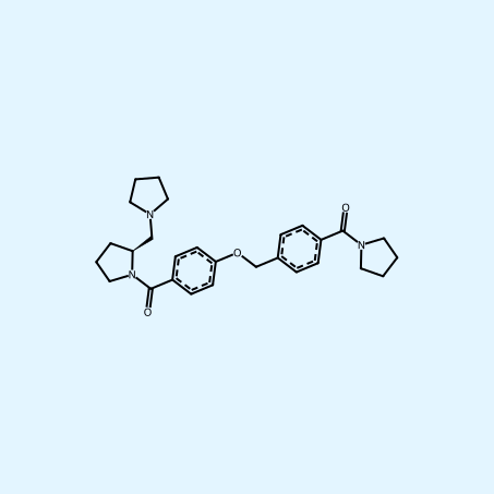 O=C(c1ccc(COc2ccc(C(=O)N3CCC[C@H]3CN3CCCC3)cc2)cc1)N1CCCC1